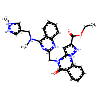 CCOC(=O)c1cc2n(Cc3nc(N(C)Cc4cnn(C)c4)c4ccccc4n3)c(=O)c3ccccc3n2n1